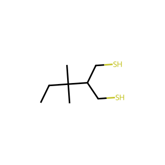 CCC(C)(C)C(CS)CS